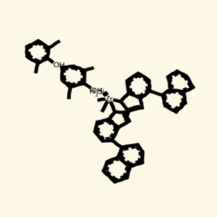 CC1=Cc2c(-c3cccc4ccccc34)cccc2[CH]1[Zr]([CH3])([CH3])(=[SiH2])[CH]1C(C)=Cc2c(-c3cccc4ccccc34)cccc21.Cc1cccc(C)c1O.Cc1cccc(C)c1O